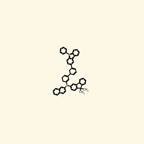 CC1(C)c2ccccc2-c2cc(N(C3=CC(C4C=CC=C(c5ccc6c(c5)c5ccccc5n6-c5ccccc5)C4)=CCC3)c3ccc4ccccc4c3)ccc21